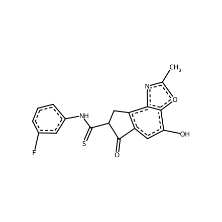 Cc1nc2c3c(cc(O)c2o1)C(=O)C(C(=S)Nc1cccc(F)c1)C3